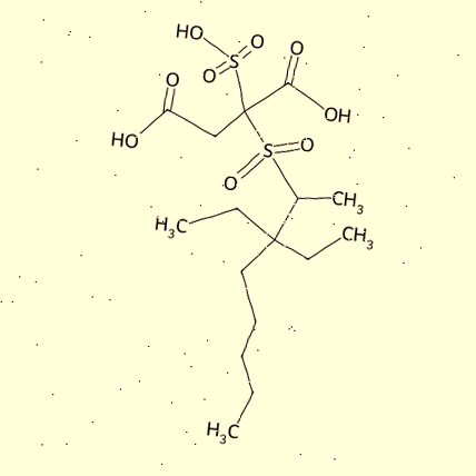 CCCCCC(CC)(CC)C(C)S(=O)(=O)C(CC(=O)O)(C(=O)O)S(=O)(=O)O